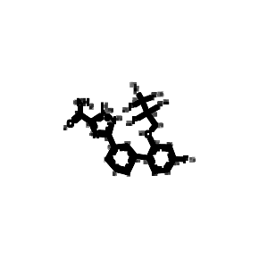 NC(=O)c1nc(-c2cccc(-c3ccc(F)cc3OCC(F)(F)C(F)(F)F)c2)n[nH]1